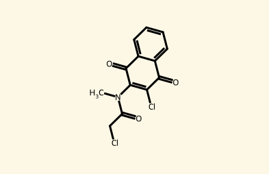 CN(C(=O)CCl)C1=C(Cl)C(=O)c2ccccc2C1=O